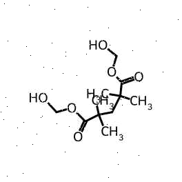 CC(C)(CC(C)(C)C(=O)OCO)C(=O)OCO